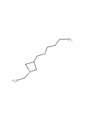 NCCCOCC1CN(CN)C1